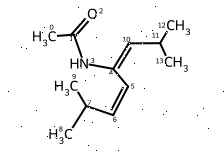 CC(=O)NC(/C=C\C(C)C)=C/C(C)C